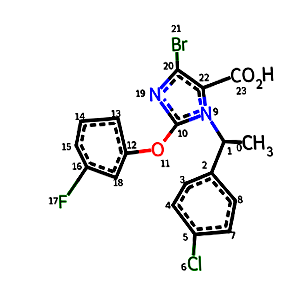 CC(c1ccc(Cl)cc1)n1c(Oc2cccc(F)c2)nc(Br)c1C(=O)O